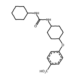 O=C(NC1CCCCC1)NC1CCC(Oc2ccc(C(=O)O)cc2)CC1